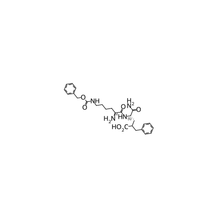 NC(=O)[C@H](CC(Cc1ccccc1)C(=O)O)NC(=O)[C@@H](N)CCCCNC(=O)OCc1ccccc1